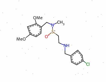 COc1ccc(CN(C)[S+]([O-])CCNCc2ccc(Cl)cc2)c(OC)c1